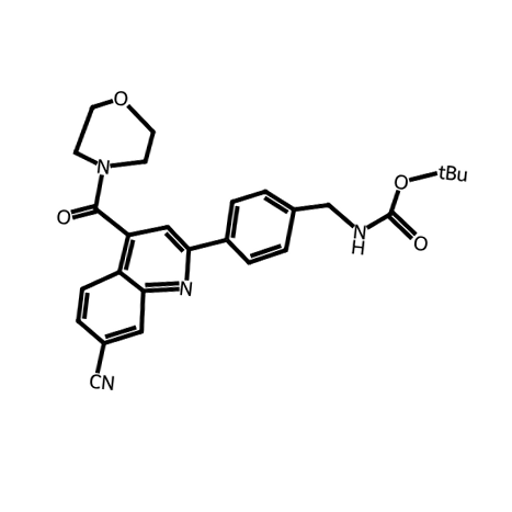 CC(C)(C)OC(=O)NCc1ccc(-c2cc(C(=O)N3CCOCC3)c3ccc(C#N)cc3n2)cc1